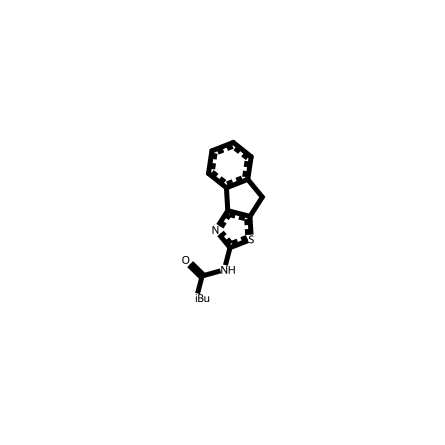 CCC(C)C(=O)Nc1nc2c(s1)Cc1ccccc1-2